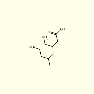 CC(CCO)C[C@H](CN)CC(=O)O